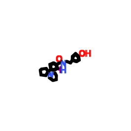 O=C(NCCc1ccc(O)cc1)c1ccc(C2(N3CCCCC3)CCCCC2)cc1I